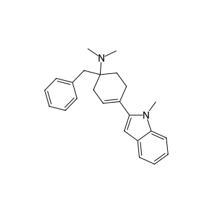 CN(C)C1(Cc2ccccc2)CC=C(c2cc3ccccc3n2C)CC1